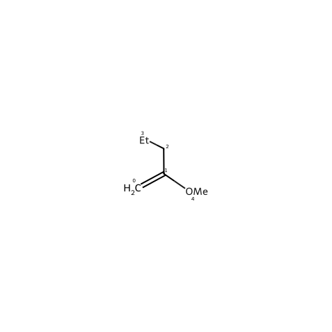 C=C(CCC)OC